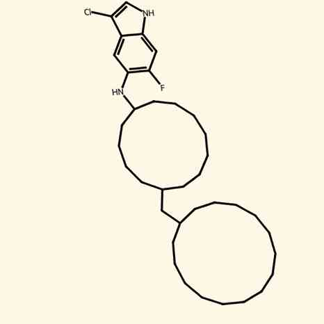 Fc1cc2[nH]cc(Cl)c2cc1NC1CCCCCCCC(CC2CCCCCCCCCCCCCC2)CCCC1